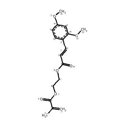 C=C(C)C(=O)OCCOC(=O)/C=C/c1ccc(OC)cc1OC